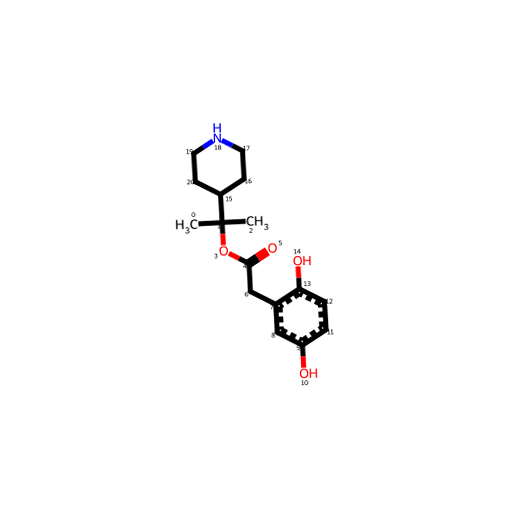 CC(C)(OC(=O)Cc1cc(O)ccc1O)C1CCNCC1